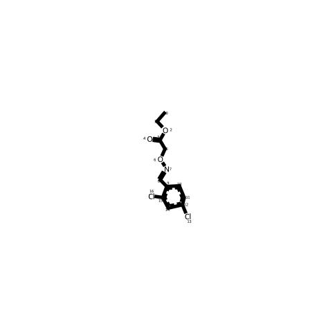 CCOC(=O)CON=Cc1c[c]c(Cl)cc1Cl